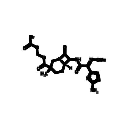 CON=C(C(=O)NC1C(=O)N2CC(C)(C(=O)OCOC(=O)C(C)C)CS[C@H]12)c1csc(N)n1